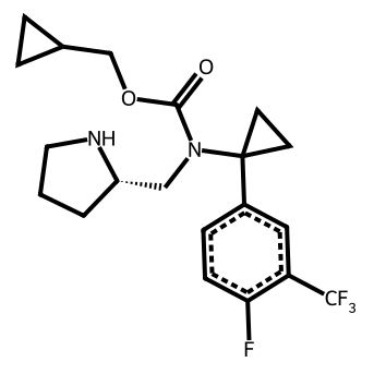 O=C(OCC1CC1)N(C[C@@H]1CCCN1)C1(c2ccc(F)c(C(F)(F)F)c2)CC1